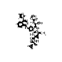 C=CC1C[C@]1(NC(=O)[C@@H]1C[C@@H](Oc2nnc(-n3ccnc3)c3ccccc23)CN1C(=O)[C@@H](NC(=O)OC(C)(C)C)C(C)(C)C)C(=O)NS(=O)(=O)C1CC1